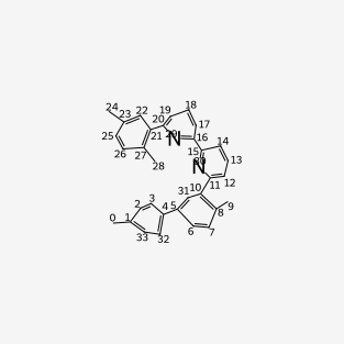 Cc1ccc(-c2ccc(C)c(-c3cccc(-c4cccc(-c5cc(C)ccc5C)n4)n3)c2)cc1